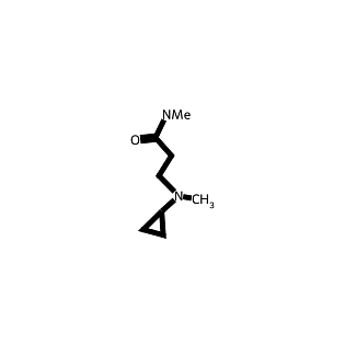 CNC(=O)CCN(C)C1CC1